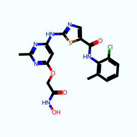 Cc1nc(Nc2ncc(C(=O)Nc3c(C)cccc3Cl)s2)cc(OCC(=O)NO)n1